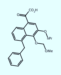 CCCOc1cc(C(=O)C(=O)O)c2cccc(Cc3ccccc3)c2c1OCOC